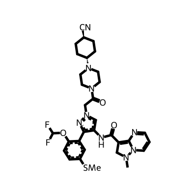 CSc1ccc(OC(F)F)c(-c2nn(CC(=O)N3CCN([C@H]4CC[C@H](C#N)CC4)CC3)cc2NC(=O)C2=C3N=CC=CN3N(C)C2)c1